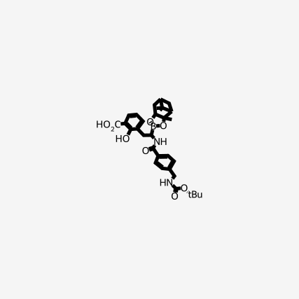 CC(C)(C)OC(=O)NCc1ccc(C(=O)NC(Cc2cccc(C(=O)O)c2O)B2OC3CC4CC(C4(C)C)C3(C)O2)cc1